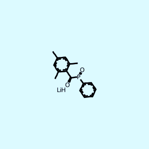 Cc1cc(C)c(C(=O)[P](=O)c2ccccc2)c(C)c1.[LiH]